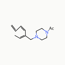 C=C/C=C\C(=C/C)CN1CCN(C(C)=O)CC1